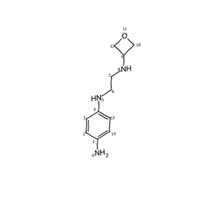 Nc1ccc(NCCNC2COC2)cc1